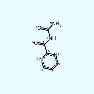 NC(=O)NC(=O)c1ncccn1